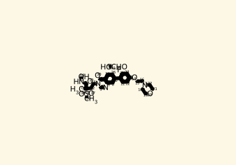 CC(CCn1cnc2cc(-c3ccc(OCCN4CCOCC4)cc3F)ccc2c1=O)(C(=O)NO)S(C)(=O)=O.O=CO